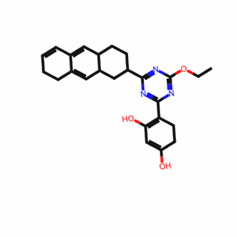 CCOc1nc(C2=C(O)C=C(O)CC2)nc(C2CCC3C=C4C=CCCC4=CC3C2)n1